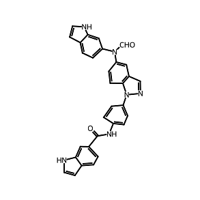 O=CN(c1ccc2c(cnn2-c2ccc(NC(=O)c3ccc4cc[nH]c4c3)cc2)c1)c1ccc2cc[nH]c2c1